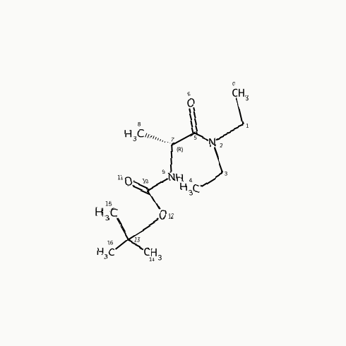 CCN(CC)C(=O)[C@@H](C)NC(=O)OC(C)(C)C